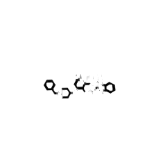 Cc1c(OC2CCN(Cc3ccccc3)CC2)ccnc1C[S+]([O-])c1nc2ccccc2[nH]1.[MgH2]